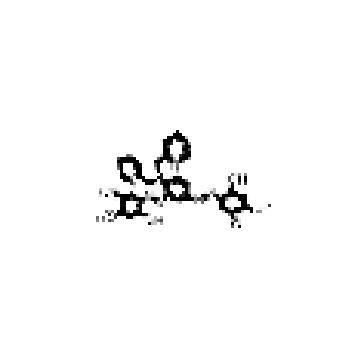 O=Nc1cc(/N=N/c2cc(/N=N/c3cc(Cl)c(O)cc3O)ccc2N(Cc2ccccn2)Cc2ccccn2)c(O)cc1O